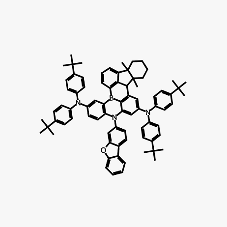 CC(C)(C)c1ccc(N(c2ccc(C(C)(C)C)cc2)c2ccc3c(c2)B2c4cccc5c4C(c4cc(N(c6ccc(C(C)(C)C)cc6)c6ccc(C(C)(C)C)cc6)cc(c42)N3c2ccc3c(c2)oc2ccccc23)C2(C)CCCCC52C)cc1